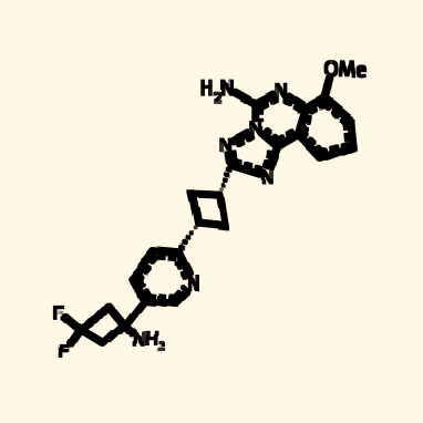 COc1cccc2c1nc(N)n1nc([C@H]3C[C@@H](c4ccc(C5(N)CC(F)(F)C5)cn4)C3)nc21